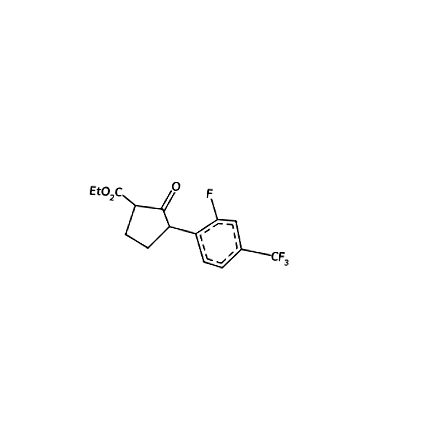 CCOC(=O)C1CCC(c2ccc(C(F)(F)F)cc2F)C1=O